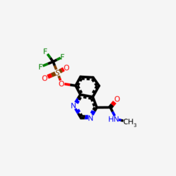 CNC(=O)c1ncnc2c(OS(=O)(=O)C(F)(F)F)cccc12